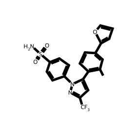 Cc1cc(-c2ccco2)ccc1-c1cc(C(F)(F)F)nn1-c1ccc(S(N)(=O)=O)cc1